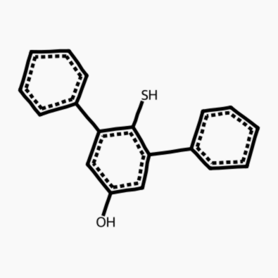 Oc1cc(-c2ccccc2)c(S)c(-c2ccccc2)c1